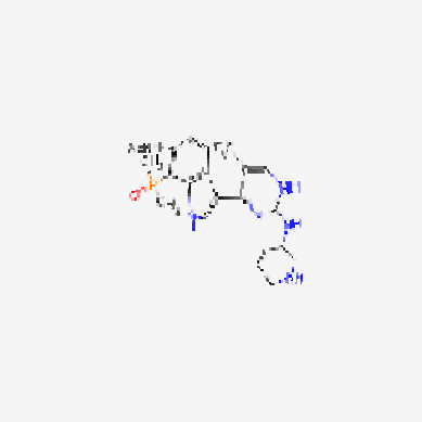 CC(=O)Nc1ccc2c(C3=NC(NC4CCCNC4)NC=C3C(F)(F)F)c[nH]c2c1P(C)(C)=O